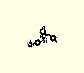 Cc1ccc(Cc2nc(Nc3ccc(-n4ccnc4C)cc3)nc3c2CN(C)CC3)cc1